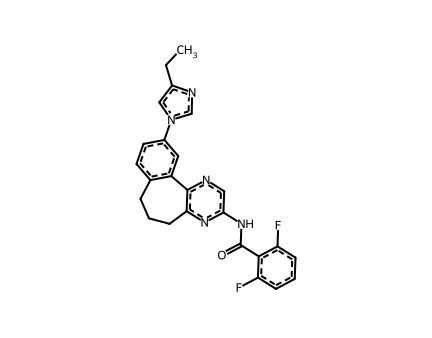 CCc1cn(-c2ccc3c(c2)-c2ncc(NC(=O)c4c(F)cccc4F)nc2CCC3)cn1